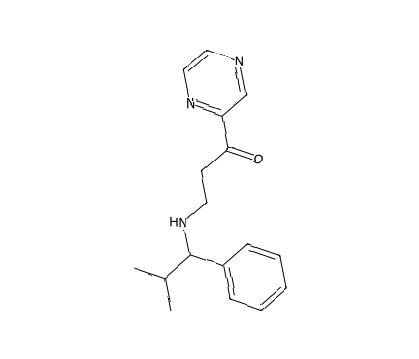 CC(C)C(NCCC(=O)c1cnccn1)c1ccccc1